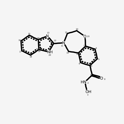 O=C(NO)c1ccc2c(c1)CN(c1nc3ccccc3[nH]1)CCO2